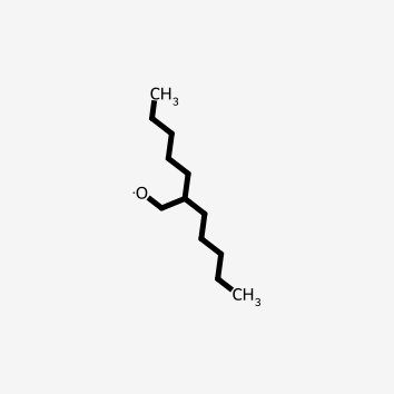 CCCCCC(C[O])CCCCC